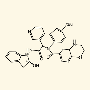 CC(C)(C)c1ccc(N(C(=O)C2=CC=C3OCCNC3C2)C(C(=O)N[C@H]2c3ccccc3C[C@@H]2O)c2cccnc2)cc1